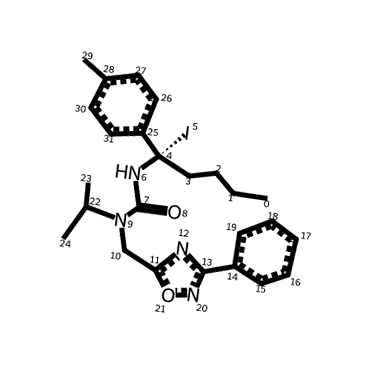 CCCC[C@@](I)(NC(=O)N(Cc1nc(-c2ccccc2)no1)C(C)C)c1ccc(C)cc1